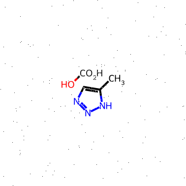 Cc1cnn[nH]1.O=C(O)O